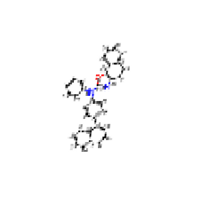 c1ccc(N(c2ccc(-c3cccc4ccccc34)cc2)c2nc3ccc4ccccc4c3o2)cc1